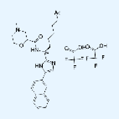 CC(=O)CCCCC[C@H](NC(=O)C1CN(C)CCO1)c1ncc(-c2ccc3ccccc3c2)[nH]1.O=C(O)C(F)(F)F.O=C(O)C(F)(F)F